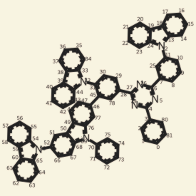 c1ccc(-c2nc(-c3cccc(-n4c5ccccc5c5ccccc54)c3)nc(-c3ccc(-n4c5ccccc5c5ccccc54)c(-c4ccc5c6cc(-n7c8ccccc8c8ccccc87)ccc6n(-c6ccccc6)c5c4)c3)n2)cc1